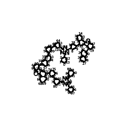 c1ccc(-c2nc(-c3ccc(-c4cc5c(oc6cccc(-c7ccc8ccccc8c7)c65)c5ccccc45)cc3)nc(-c3cccc(-c4cccc(-c5ccc6ccc(-c7cccc8oc9c%10ccccc%10c(-c%10cccc(-c%11cccc(-c%12nc(-c%13ccccc%13)nc(-c%13ccccc%13)n%12)c%11)c%10)cc9c78)cc6c5)c4)c3)n2)cc1